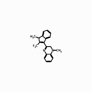 CN1CC(c2c(C(F)(F)F)n(C)c3ccccc23)=Nc2ccccc21